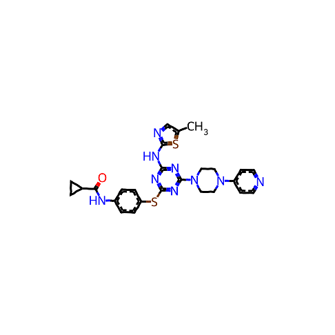 Cc1cnc(Nc2nc(Sc3ccc(NC(=O)C4CC4)cc3)nc(N3CCN(c4ccncc4)CC3)n2)s1